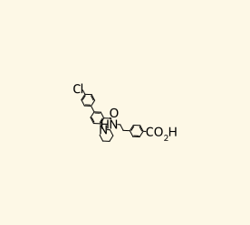 O=C(O)c1ccc(CCNC(=O)c2cc(-c3ccc(Cl)cc3)ccc2N2CCCCC2)cc1